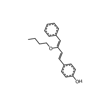 CCCCOC(C=Cc1ccc(O)cc1)=Cc1ccccc1